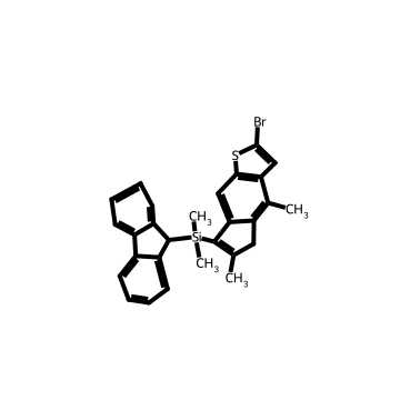 CC1=C([Si](C)(C)C2c3ccccc3-c3ccccc32)c2cc3sc(Br)cc3c(C)c2C1